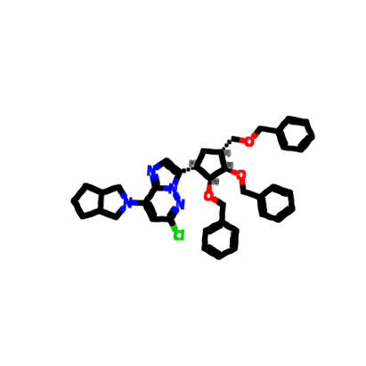 Clc1cc(N2CC3CCCC3C2)c2ncc([C@@H]3C[C@H](COCc4ccccc4)[C@@H](OCc4ccccc4)[C@H]3OCc3ccccc3)n2n1